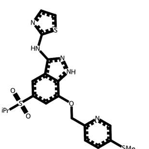 CSc1ccc(COc2cc(S(=O)(=O)C(C)C)cc3c(Nc4nccs4)n[nH]c23)nc1